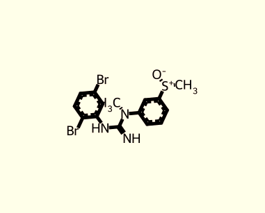 CN(C(=N)Nc1cc(Br)ccc1Br)c1cccc([S+](C)[O-])c1